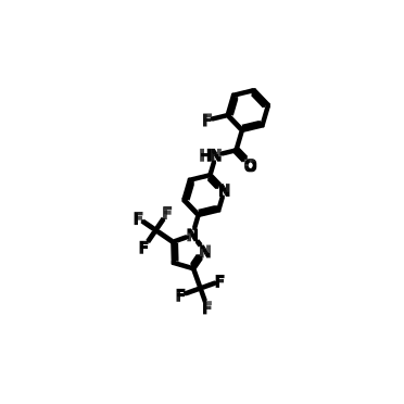 O=C(Nc1ccc(-n2nc(C(F)(F)F)cc2C(F)(F)F)cn1)c1ccccc1F